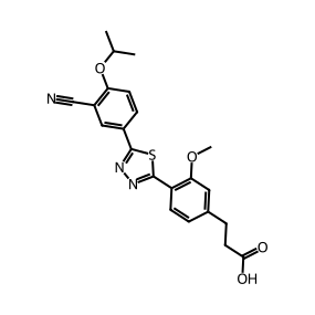 COc1cc(CCC(=O)O)ccc1-c1nnc(-c2ccc(OC(C)C)c(C#N)c2)s1